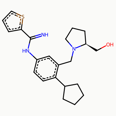 N=C(Nc1ccc(C2CCCC2)c(CN2CCC[C@H]2CO)c1)c1cccs1